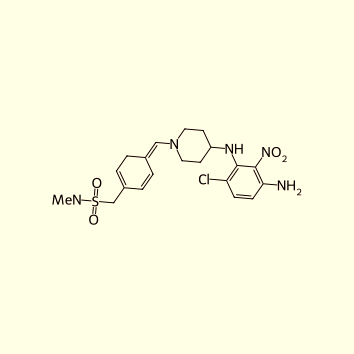 CNS(=O)(=O)CC1=CCC(=CN2CCC(Nc3c(Cl)ccc(N)c3[N+](=O)[O-])CC2)C=C1